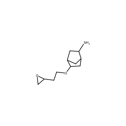 [SiH3]C1CC2CC1CC2OCCC1CO1